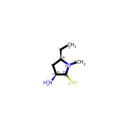 CC[C@@H]1C[C@H](N)[C@H](S)N1C